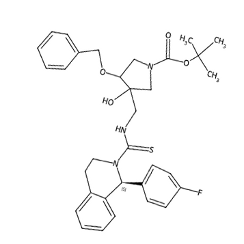 CC(C)(C)OC(=O)N1CC(OCc2ccccc2)C(O)(CNC(=S)N2CCc3ccccc3[C@@H]2c2ccc(F)cc2)C1